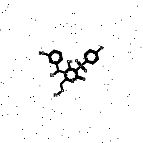 CCC(c1cccc(C#N)c1)n1c(COC(C)C)nc(=O)c(S(=O)(=O)c2ccc(Br)cc2)c1O